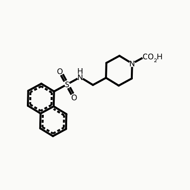 O=C(O)N1CCC(CNS(=O)(=O)c2cccc3ccccc23)CC1